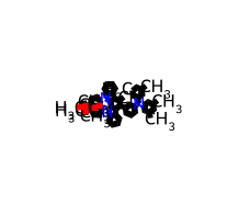 Cc1cc(C)cc(N(c2cc(C)cc(C)c2)c2cccc(-c3c(C)c4c5ccccc5n(-c5ccc(C(C)(C)C)cc5)c4c4c3c3ccccc3n4-c3ccc(C(C)(C)C)cc3)c2)c1